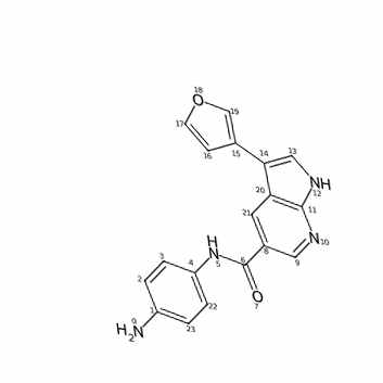 Nc1ccc(NC(=O)c2cnc3[nH]cc(-c4ccoc4)c3c2)cc1